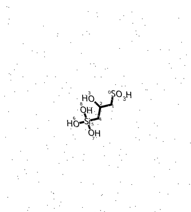 O=S(=O)(O)CC(O)C[Si](O)(O)O